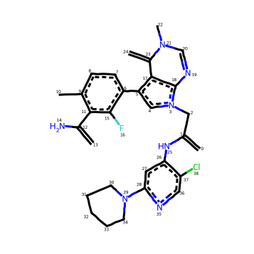 C=C(Cn1cc(-c2ccc(C)c(C(=C)N)c2F)c2c1N=CN(C)C2=C)Nc1cc(N2CCCCC2)ncc1Cl